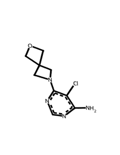 Nc1ncnc(N2CC3(COC3)C2)c1Cl